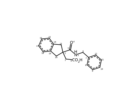 O=C(O)CC1(C(=O)NCc2ccccc2)Cc2ccccc2C1